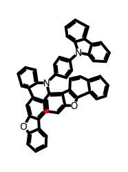 c1ccc(N(c2ccc(-n3c4ccccc4c4ccccc43)cc2)c2cccc3oc4c5ccccc5ccc4c23)c(-c2ccc3c(c2)oc2ccccc23)c1